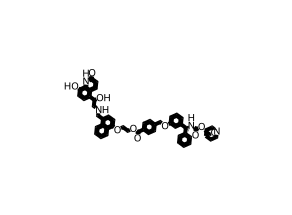 O=C(N[C@@H](c1ccccc1)c1cccc(OCc2ccc(C(=O)OCCOc3ccc(CNCC(O)c4ccc(O)c5[nH]c(=O)ccc45)c4ccccc34)cc2)c1)OC1CN2CCC1CC2